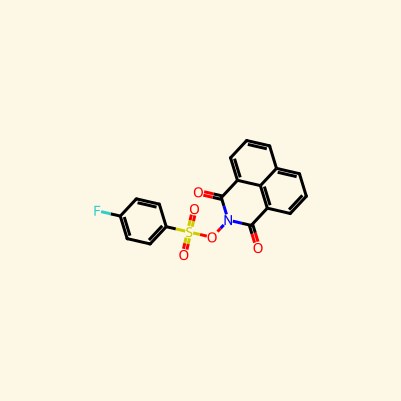 O=C1c2cccc3cccc(c23)C(=O)N1OS(=O)(=O)c1ccc(F)cc1